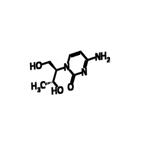 C[C@@H](O)[C@@H](CO)n1ccc(N)nc1=O